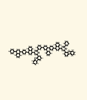 c1ccc(-c2nc(-c3ccc(-c4ccc(-c5ccc(-c6cccc(-c7nc(-c8ccc(-c9ccc(-c%10ccc(-c%11ccccc%11)c%11ccccc%10%11)cc9)c9ccccc89)nc(-c8cccc9c8oc8ccccc89)n7)c6)cc5-c5ccccc5)cc4)c4ccccc34)nc(-c3cccc4c3oc3ccccc34)n2)cc1